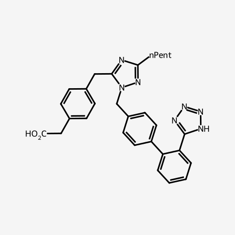 CCCCCc1nc(Cc2ccc(CC(=O)O)cc2)n(Cc2ccc(-c3ccccc3-c3nnn[nH]3)cc2)n1